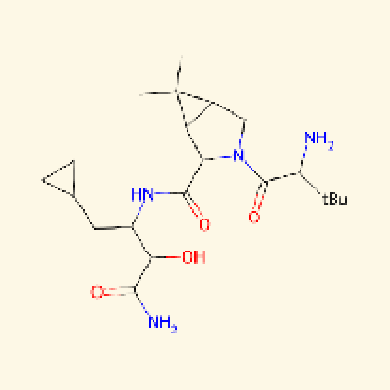 CC(C)(C)C(N)C(=O)N1CC2C(C1C(=O)NC(CC1CC1)C(O)C(N)=O)C2(C)C